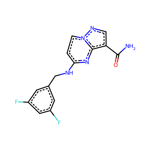 NC(=O)c1cnn2ccc(NCc3cc(F)cc(F)c3)nc12